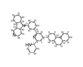 C1=CNC(c2cc(-c3ccc4c(ccc5ccccc54)c3)cc(-c3cccc(-n4c5ccccc5c5cnccc54)c3)n2)C=C1